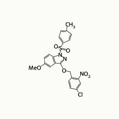 COc1ccc2c(c1)c(OCc1ccc(Cl)cc1[N+](=O)[O-])nn2S(=O)(=O)c1ccc(C)cc1